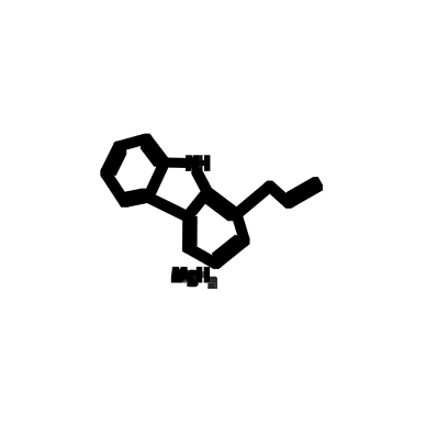 C=CCc1cccc2c1[nH]c1ccccc12.[MgH2]